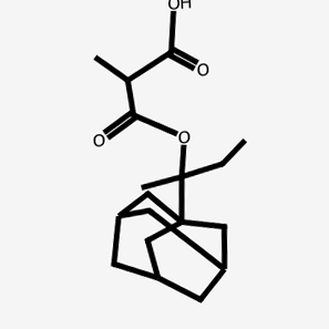 CCC(C)(OC(=O)C(C)C(=O)O)C12CC3CC(CC(C3)C1)C2